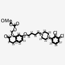 COOC(=O)OCN1C(=O)CCc2ccc(OCCCCN3CCN(c4cccc(Cl)c4Cl)CC3)cc21